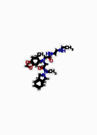 CCNCCNC(=O)CN(CC(=O)N(C)N1Cc2ccccc2C1)c1cc2c(cc1C)OCO2